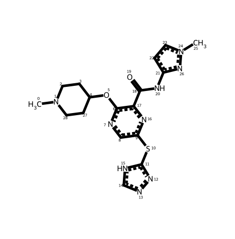 CN1CCC(Oc2ncc(Sc3nnc[nH]3)nc2C(=O)Nc2ccn(C)n2)CC1